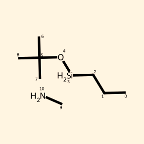 CCC[SiH2]OC(C)(C)C.CN